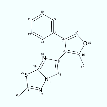 Cc1nn2cc(-c3c(-c4ccccc4)coc3C)nc2s1